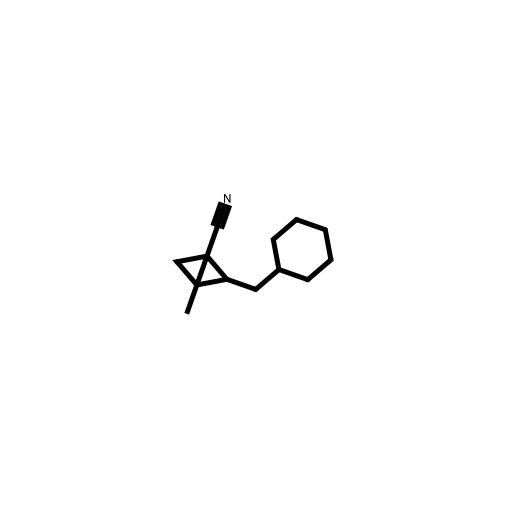 CC12CC1(C#N)C2CC1CCCCC1